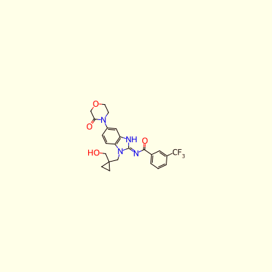 O=C(/N=c1\[nH]c2cc(N3CCOCC3=O)ccc2n1CC1(CO)CC1)c1cccc(C(F)(F)F)c1